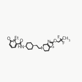 CCn1c(C(=O)N[C@H]2CC[C@H](CCN3CCc4sc(OCC(C)(F)F)nc4C3)CC2)cccc1=O